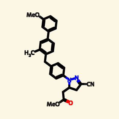 COC(=O)CC1CC(C#N)=NN1c1ccc(Cc2ccc(-c3cccc(OC)c3)cc2C)cc1